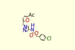 CC(=O)c1ccc(Cn2cc(NC(=O)OCc3ccc(Cl)cc3)cn2)o1